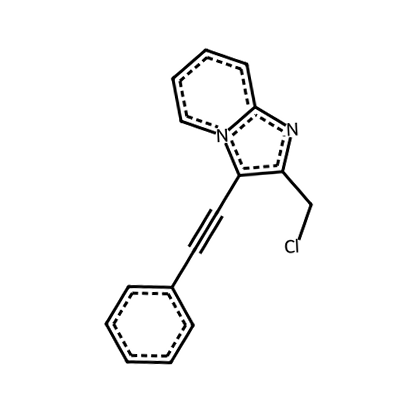 ClCc1nc2ccccn2c1C#Cc1ccccc1